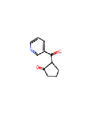 O=C1CCCC1C(=O)c1cccnc1